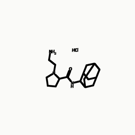 Cl.NCCN1CCCC1C(=O)NC1C2CC3CC(C2)CC1C3